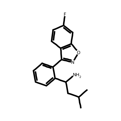 CC(C)CC(N)c1ccccc1-c1noc2cc(F)ccc12